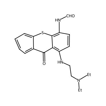 CCN(CC)CCNc1ccc(NC=O)c2sc3ccccc3c(=O)c12